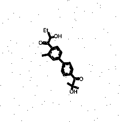 CCC(O)C(=O)c1ccc(-c2ccc(C(=O)C(C)(C)O)cc2)cc1C